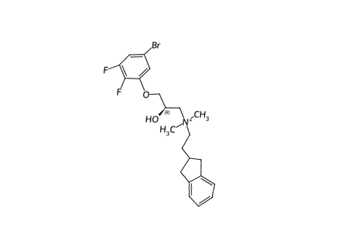 C[N+](C)(CCC1Cc2ccccc2C1)C[C@@H](O)COc1cc(Br)cc(F)c1F